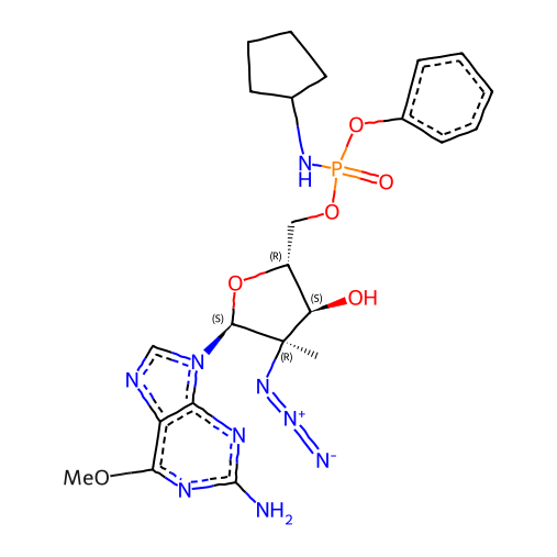 COc1nc(N)nc2c1ncn2[C@H]1O[C@H](COP(=O)(NC2CCCC2)Oc2ccccc2)[C@@H](O)[C@@]1(C)N=[N+]=[N-]